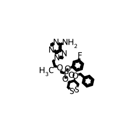 C[C@H](Cn1cnc2c(N)ncnc21)OCP(=O)(Oc1cccc(F)c1)OC1CSSC[C@@H]1OCc1ccccc1